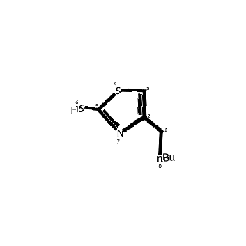 CCCCCc1csc(S)n1